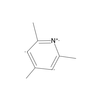 CC1=[C]C(C)=[N+]C(C)=[C]1